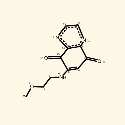 COCCNC1=CC(=O)c2nccnc2C1=O